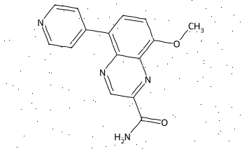 COc1ccc(-c2ccncc2)c2ncc(C(N)=O)nc12